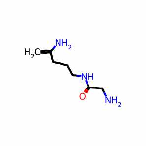 C=C(N)CCCNC(=O)CN